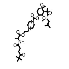 CO[C@H]1[C@H](C2(C)O[C@@H]2CC=C(C)C)[C@]2(CC[C@H]1OC(=O)N1CCN(CCOC(=O)[C@H](C)NC(=O)CCC(=O)C(C)(C)C)CC1)CO2